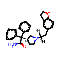 [2H]C([2H])(Cc1ccc2c(c1)CCO2)N1CC[C@@H](C(C(N)=O)(c2ccccc2)c2ccccc2)C1